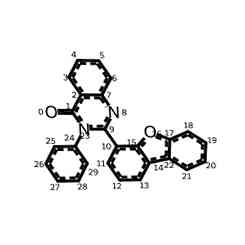 O=c1c2ccccc2nc(-c2cccc3c2oc2ccccc23)n1-c1ccccc1